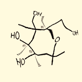 CC1(O)[C@@](C)(CO)OC(C)(C)[C@@](C)(O)[C@@]1(C)O